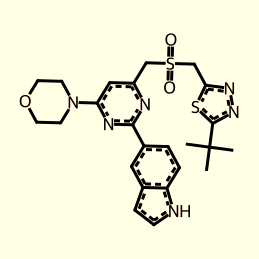 CC(C)(C)c1nnc(CS(=O)(=O)Cc2cc(N3CCOCC3)nc(-c3ccc4[nH]ccc4c3)n2)s1